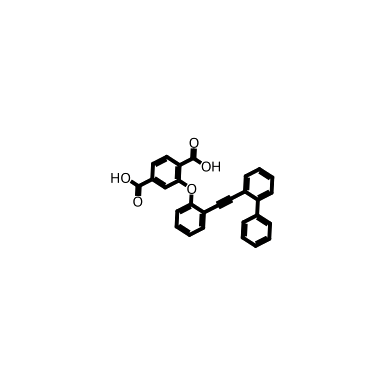 O=C(O)c1ccc(C(=O)O)c(Oc2ccccc2C#Cc2ccccc2-c2ccccc2)c1